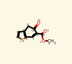 COC(=O)C1=Cc2sccc2CC1=O